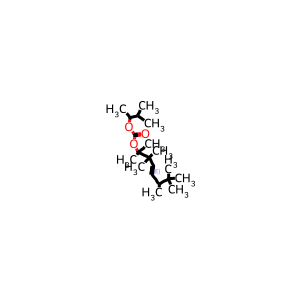 CC(C)C(C)OC(=O)OC(C)(C)C(C)(C)/C=C/C(C)C(C)(C)C